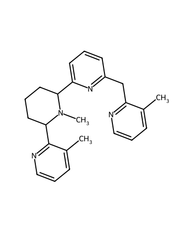 Cc1cccnc1Cc1cccc(C2CCCC(c3ncccc3C)N2C)n1